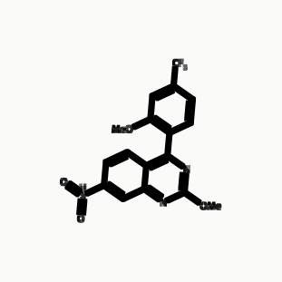 COc1nc(-c2ccc(C(F)(F)F)cc2OC)c2ccc([SH](=O)=O)cc2n1